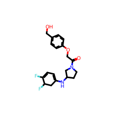 O=C(COc1ccc(CO)cc1)N1CCC(NC2=CC=C(F)C(F)C2)C1